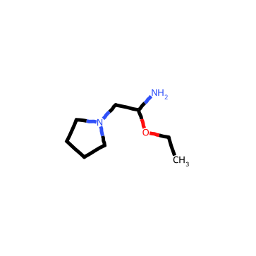 CCOC(N)CN1CCCC1